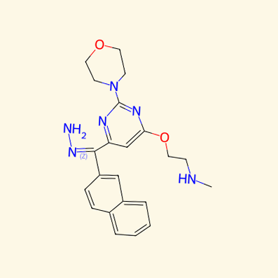 CNCCOc1cc(/C(=N\N)c2ccc3ccccc3c2)nc(N2CCOCC2)n1